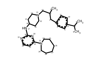 CC(Cc1ccc(C(C)C)cc1)CN1CCC(Nc2nccc(N3CCCCCC3)n2)CC1